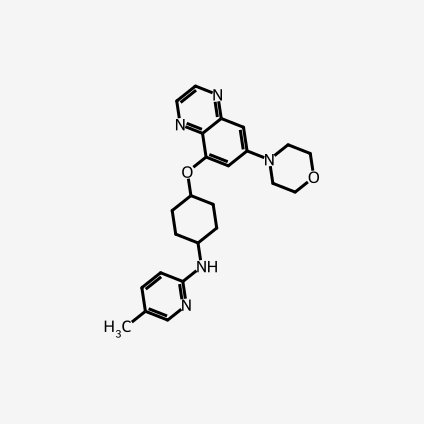 Cc1ccc(NC2CCC(Oc3cc(N4CCOCC4)cc4nccnc34)CC2)nc1